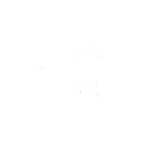 CCc1[c]c(Br)c(CC(Cl)(Cl)Cl)c(C(F)(C(F)(F)F)C(F)(F)F)c1